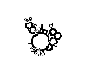 CCO[C@]1(N2CCN3CCS(=O)(=O)C[C@H]3C2)/C=C/C[C@H](C)[C@@H](C)S(=O)(=O)NC(=O)c2ccc3c(c2)N(C[C@@H]2CC[C@H]21)C[C@@]1(CCCc2cc(Cl)ccc21)CO3